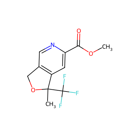 COC(=O)c1cc2c(cn1)COC2(C)C(F)(F)F